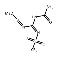 BC(=O)NC(/N=B\OC)=N/S(=O)(=O)C(F)(F)F